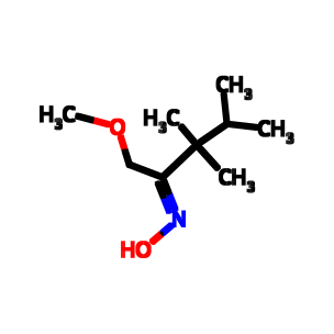 COC/C(=N\O)C(C)(C)C(C)C